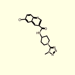 Cn1nnnc1N1CCC(NC(=O)c2cnc3ccc(Cl)cc3c2)CC1